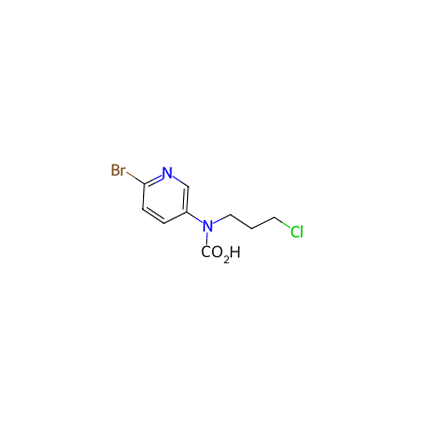 O=C(O)N(CCCCl)c1ccc(Br)nc1